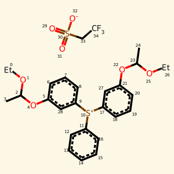 CCOC(C)Oc1cccc([S+](c2ccccc2)c2cccc(OC(C)OCC)c2)c1.O=S(=O)([O-])CC(F)(F)F